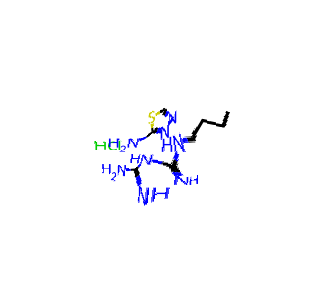 CCCCNC(=N)NC(=N)N.Cl.Nc1nncs1